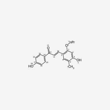 CCCOc1cc(O)c(C)cc1C=CC(=O)c1ccc(O)cc1